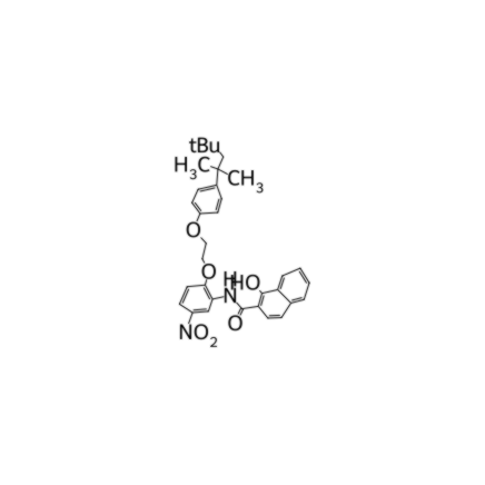 CC(C)(C)CC(C)(C)c1ccc(OCCOc2ccc([N+](=O)[O-])cc2NC(=O)c2ccc3ccccc3c2O)cc1